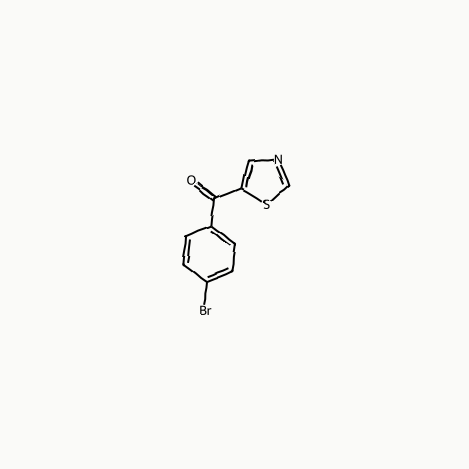 O=C(c1ccc(Br)cc1)c1cncs1